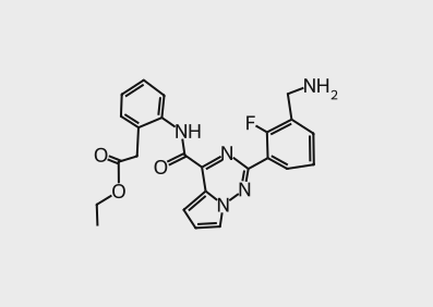 CCOC(=O)Cc1ccccc1NC(=O)c1nc(-c2cccc(CN)c2F)nn2cccc12